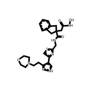 O=C(CC1(C(=O)NCc2nc(-c3c[nH]nc3CCN3CCOCC3)cs2)Cc2ccccc2C1)NO